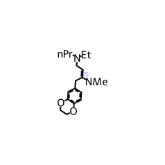 CCCN(CC)C/C=C(\Cc1ccc2c(c1)OCCO2)NC